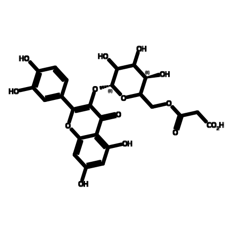 O=C(O)CC(=O)OCC1O[C@H](Oc2c(-c3ccc(O)c(O)c3)oc3cc(O)cc(O)c3c2=O)C(O)C(O)[C@H]1O